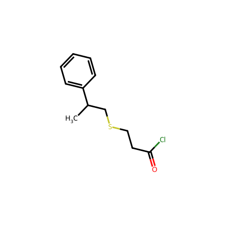 CC(CSCCC(=O)Cl)c1ccccc1